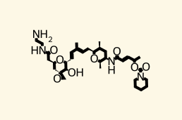 CC(C=C[C@H]1O[C@H](CC(=O)NCCN)C[C@@]2(CO2)[C@@H]1O)=CC[C@@H]1O[C@H](C)[C@H](NC(=O)C=CC(C)OC(=O)N2CCCCC2)C[C@@H]1C